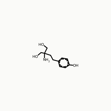 NC(CO)(CO)CCc1ccc(O)cc1